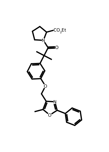 CCOC(=O)C1CCCN1C(=O)C(C)(C)c1cccc(OCc2nc(-c3ccccc3)oc2C)c1